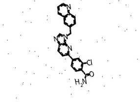 NC(=O)c1ccc(-c2ccc3ncn(Cc4ccc5ncccc5c4)c3n2)cc1Cl